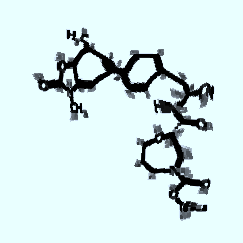 Cc1cc(-c2ccc(C[C@@H](C#N)NC(=O)[C@@H]3CN(C(=O)OC(C)(C)C)CCCO3)cc2)cc2c1oc(=O)n2C